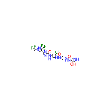 Cn1c(-c2cn(C3CC3(F)F)nc2C(F)(F)F)cnc1C(=O)Nc1ccc(C(=O)NC2CCN(C(=O)N[C@@H]3CNC[C@H]3O)CC2)c(Cl)c1